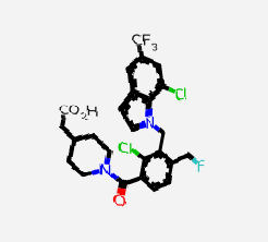 O=C(O)CC1CCN(C(=O)c2ccc(CF)c(Cn3ccc4cc(C(F)(F)F)cc(Cl)c43)c2Cl)CC1